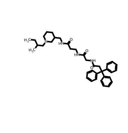 CCC(C)CN1CCCC(CNC(=O)CCNC(=O)CNC(=O)CC(c2ccccc2)(c2ccccc2)c2ccccc2)C1